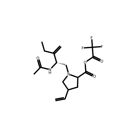 C=CC1CC(C(=O)OC(=O)C(F)(F)F)N(C[C@H](NC(C)=O)C(=C)CC)C1